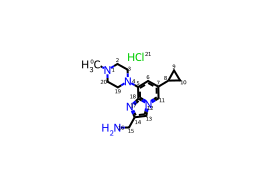 CN1CCN(c2cc(C3CC3)cn3cc(CN)nc23)CC1.Cl